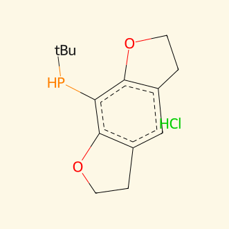 CC(C)(C)Pc1c2c(cc3c1OCC3)CCO2.Cl